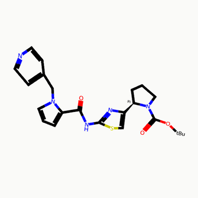 CC(C)(C)OC(=O)N1CCC[C@@H]1c1csc(NC(=O)c2cccn2Cc2ccncc2)n1